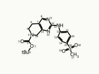 CC(C)(C)OC(=O)N1CCc2cnc(Nc3ccc(S(C)(=O)=O)cc3)nc2C1